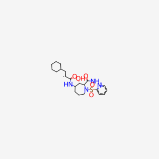 NC(=O)C1[C@@H](O)C(NC(=O)[CH]CC2CCCCC2)CCCN1S(=O)(=O)c1ccccn1